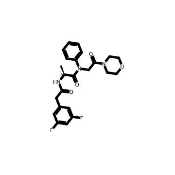 C[C@H](NC(=O)Cc1cc(F)cc(F)c1)C(=O)N(CC(=O)N1CCOCC1)c1ccccc1